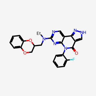 CCN(CC1COc2ccccc2O1)c1ncc2c3n[nH]cc3c(=O)n(-c3ccccc3F)c2n1